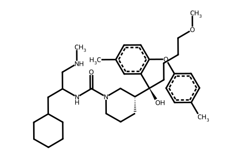 CNCC(CC1CCCCC1)NC(=O)N1CCC[C@@H]([C@@](O)(CCCCOC)c2cc(C)ccc2Oc2ccc(C)cc2)C1